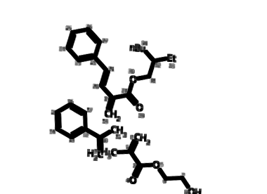 C=C(C)C(=O)OCCO.C=C(C)c1ccccc1.C=C(C=Cc1ccccc1)C(=O)OCC(CC)CCCC